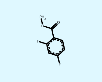 O=C(OP)c1ccc(F)cc1F